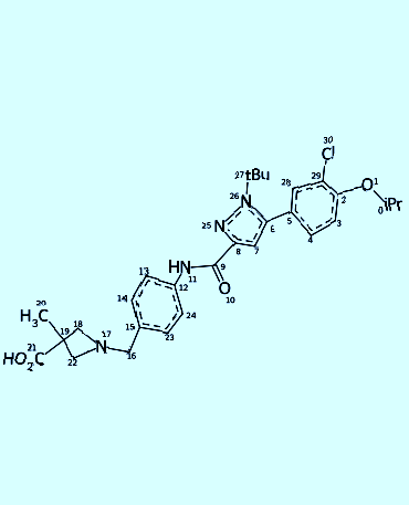 CC(C)Oc1ccc(-c2cc(C(=O)Nc3ccc(CN4CC(C)(C(=O)O)C4)cc3)nn2C(C)(C)C)cc1Cl